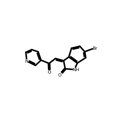 O=C1Nc2cc(Br)ccc2C1=CC(=O)c1cccnc1